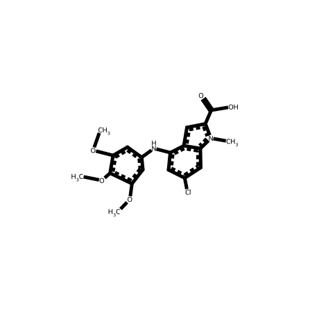 COc1cc(Nc2cc(Cl)cc3c2cc(C(=O)O)n3C)cc(OC)c1OC